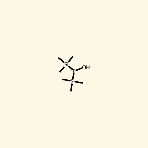 C[Si](C)(C)P(O)[Si](C)(C)C